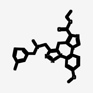 CCOC(=O)c1ncn2c1Cc1c(CN(C)Cc3cccc(C)c3)nnn1-c1cc(OC)ccc1-2